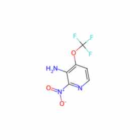 Nc1c(OC(F)(F)F)ccnc1[N+](=O)[O-]